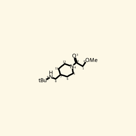 COCC(=O)N1CCC(CNC(C)(C)C)CC1